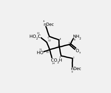 CCCCCCCCCCCCC(CCCCCCCCCCCC)(C(N)=O)C(O)(CC(=O)O)C(=O)O